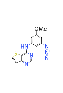 COc1cc(N=[N+]=[N-])cc(Nc2ncnc3ccsc23)c1